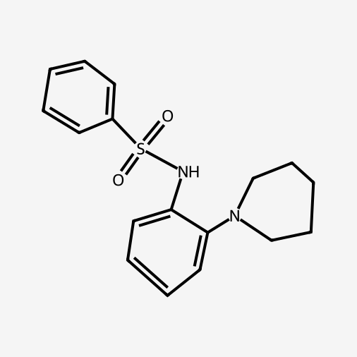 O=S(=O)(Nc1ccccc1N1CCCCC1)c1ccccc1